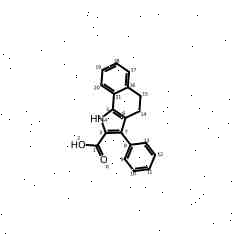 O=C(O)c1[nH]c2c(c1-c1ccccc1)CCc1ccccc1-2